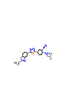 CC1=Nc2cc(-c3nnc(-c4ccc(NCC(F)F)c(C#N)c4)o3)ccc2C1